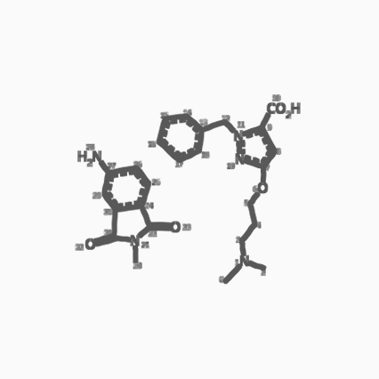 CN(C)CCCOc1cc(C(=O)O)n(Cc2ccccc2)n1.CN1C(=O)c2ccc(N)cc2C1=O